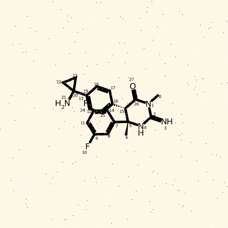 CN1C(=N)N[C@](C)(c2cc(F)cc(F)c2)[C@H](c2ccc(C3(N)CC3)cc2)C1=O